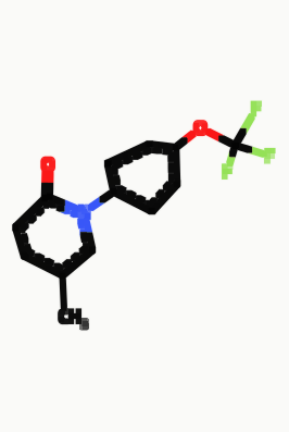 Cc1ccc(=O)n(-c2ccc(OC(F)(F)F)cc2)c1